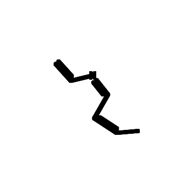 C=C/N=C\C=C/C